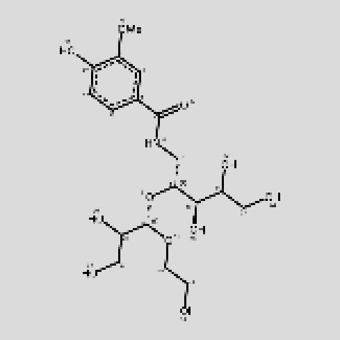 COc1cc(C(=O)NC[C@@H](O[C@H](OCCO)C(O)CO)[C@H](O)C(O)CO)ccc1O